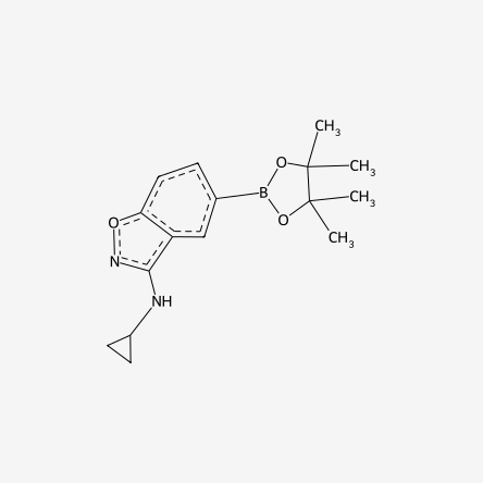 CC1(C)OB(c2ccc3onc(NC4CC4)c3c2)OC1(C)C